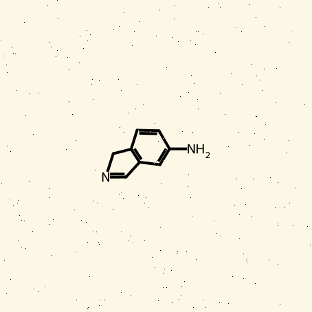 Nc1ccc2c(c1)C=NC2